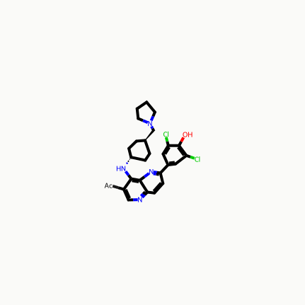 CC(=O)c1cnc2ccc(-c3cc(Cl)c(O)c(Cl)c3)nc2c1N[C@H]1CC[C@H](CN2CCCC2)CC1